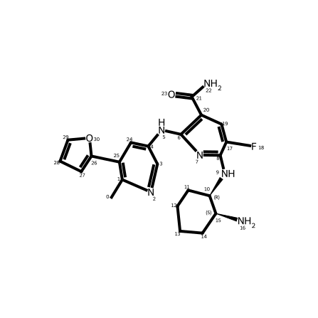 Cc1ncc(Nc2nc(N[C@@H]3CCCC[C@@H]3N)c(F)cc2C(N)=O)cc1-c1ccco1